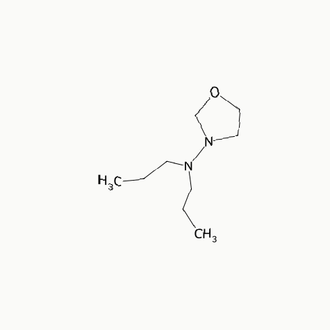 CCCN(CCC)N1CCOC1